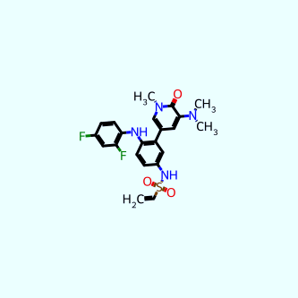 C=CS(=O)(=O)Nc1ccc(Nc2ccc(F)cc2F)c(-c2cc(N(C)C)c(=O)n(C)c2)c1